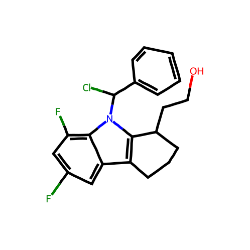 OCCC1CCCc2c1n(C(Cl)c1ccccc1)c1c(F)cc(F)cc21